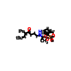 C=C(NCCCC(=O)C(CC(C)(C)C)C(C)C)OC1C2CC3C1OS(=O)(=O)C3C2